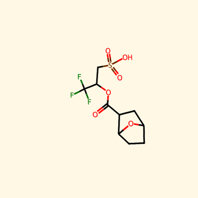 O=C(OC(CS(=O)(=O)O)C(F)(F)F)C1CC2CCC1O2